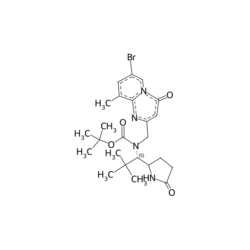 Cc1cc(Br)cn2c(=O)cc(CN(C(=O)OC(C)(C)C)[C@H](C3CCC(=O)N3)C(C)(C)C)nc12